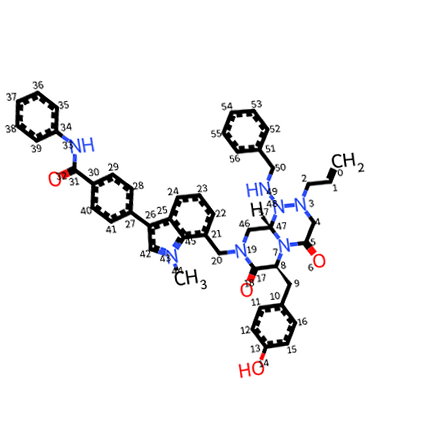 C=CCN1CC(=O)N2[C@@H](Cc3ccc(O)cc3)C(=O)N(Cc3cccc4c(-c5ccc(C(=O)Nc6ccccc6)cc5)cn(C)c34)C[C@@H]2N1NCc1ccccc1